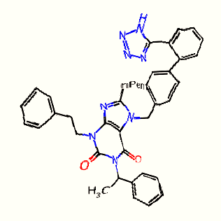 CCCCCc1nc2c(c(=O)n(C(C)c3ccccc3)c(=O)n2CCc2ccccc2)n1Cc1ccc(-c2ccccc2-c2nnn[nH]2)cc1